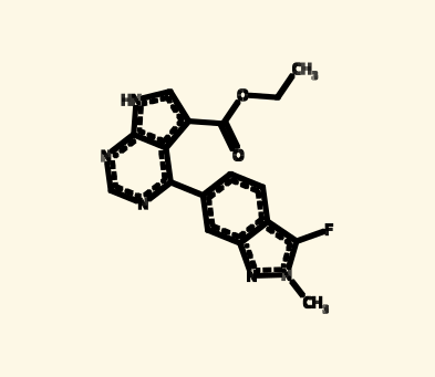 CCOC(=O)c1c[nH]c2ncnc(-c3ccc4c(F)n(C)nc4c3)c12